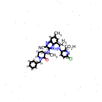 Cc1cc([C@@H](C)Nc2ccc(Cl)nc2C(=O)O)c2nc(N(C)C3CCCN(Cc4ccccc4)C3=O)c(C#N)nc2c1